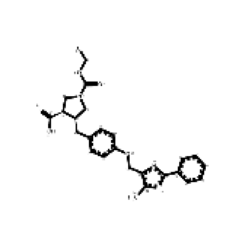 CCOC(=O)N1C[C@@H](Cc2ccc(OCc3nc(-c4ccccc4)oc3C)cc2)[C@@H](C(=O)O)C1